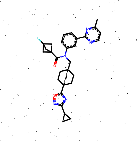 Cc1ccnc(-c2cccc(N(CC34CCC(c5nc(C6CC6)no5)(CC3)CC4)C(=O)C34CC(F)(C3)C4)c2)n1